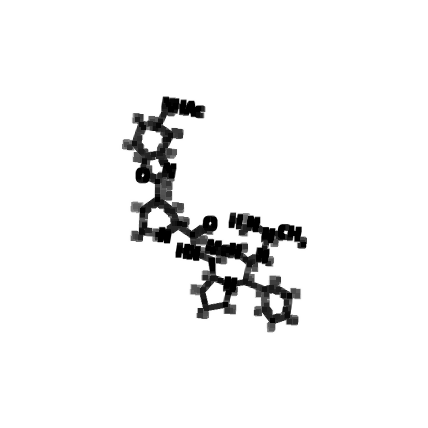 CN/C(=N\N(C)N)C(c1ccccc1)N1CCC[C@H]1CNC(=O)c1cc(-c2nc3cc(NC(C)=O)ccc3o2)ccn1